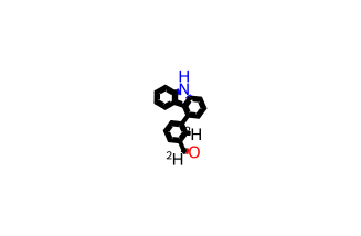 [2H]C(=O)c1cccc(-c2cccc3[nH]c4ccccc4c23)c1[2H]